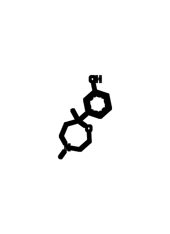 CN1CCOC(C)(c2cccc(O)c2)CC1